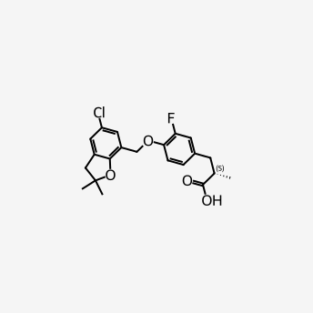 C[C@@H](Cc1ccc(OCc2cc(Cl)cc3c2OC(C)(C)C3)c(F)c1)C(=O)O